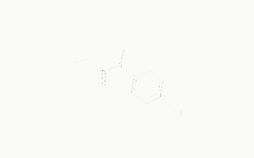 CCC(=O)N(C)c1ccc(O)cc1